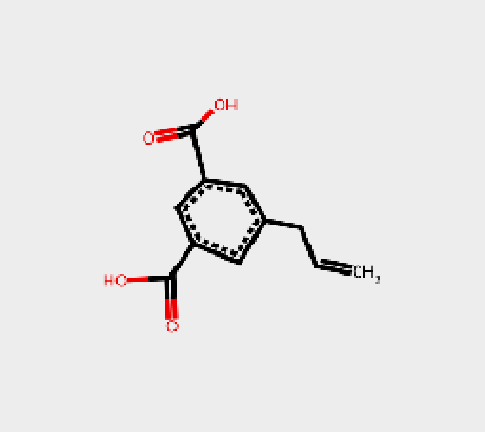 C=CCc1cc(C(=O)O)cc(C(=O)O)c1